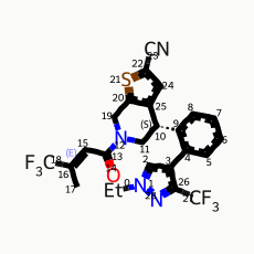 CCn1cc(-c2ccccc2[C@@H]2CN(C(=O)/C=C(\C)C(F)(F)F)Cc3sc(C#N)cc32)c(C(F)(F)F)n1